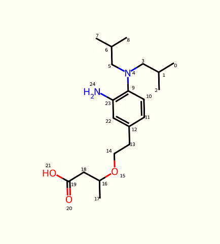 CC(C)CN(CC(C)C)c1ccc(CCOC(C)CC(=O)O)cc1N